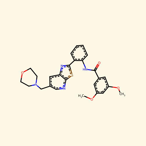 COc1cc(OC)cc(C(=O)Nc2ccccc2-c2nc3cc(CN4CCOCC4)cnc3s2)c1